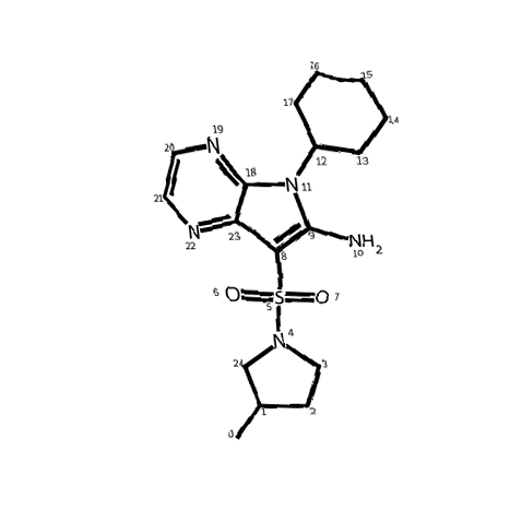 CC1CCN(S(=O)(=O)c2c(N)n(C3CCCCC3)c3nccnc23)C1